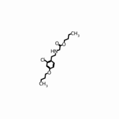 CCCCOC(=O)CNCCc1ccc(OCCCC)cc1Cl